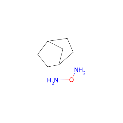 C1CC2CCC1C2.NON